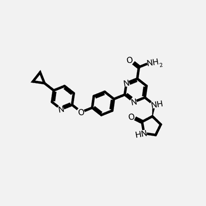 NC(=O)c1cc(N[C@H]2CCNC2=O)nc(-c2ccc(Oc3ccc(C4CC4)cn3)cc2)n1